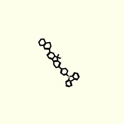 CC1(C)C2=C(CCC(C3=CC=C(n4c5ccccc5c5ccccc54)CC3)=C2)C2=CC=C(C3=CC4=C(CCCC4)CC3)CC21